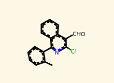 Cc1ccccc1-c1nc(Cl)c(C=O)c2ccccc12